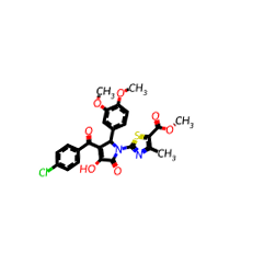 COC(=O)c1sc(N2C(=O)C(O)=C(C(=O)c3ccc(Cl)cc3)C2c2ccc(OC)c(OC)c2)nc1C